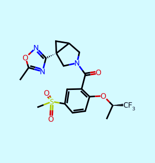 Cc1nc([C@]23CC2CN(C(=O)c2cc(S(C)(=O)=O)ccc2O[C@H](C)C(F)(F)F)C3)no1